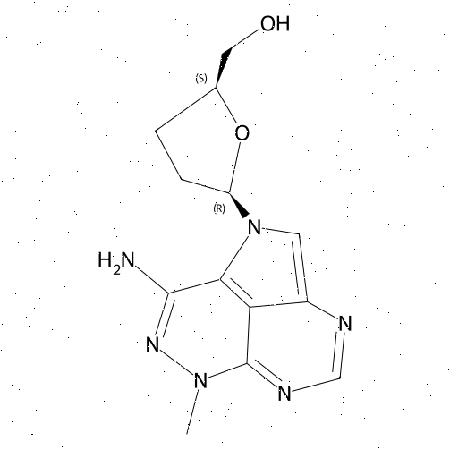 CN1N=C(N)c2c3c1ncnc3cn2[C@H]1CC[C@@H](CO)O1